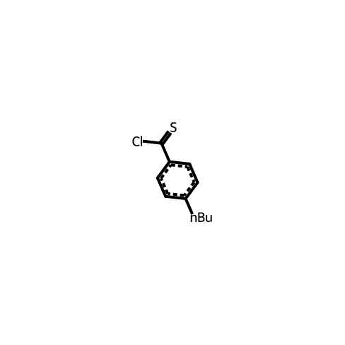 CCCCc1ccc(C(=S)Cl)cc1